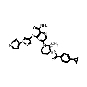 C[C@@H]1[C@H](NC(=O)c2ccc(C3CC3)cc2)CCCN1c1cnc(C(N)=O)c(Nc2cnn(-c3ccncc3)c2)n1